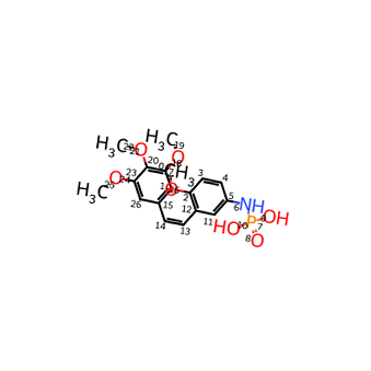 COc1ccc(NP(=O)(O)O)cc1/C=C\c1cc(OC)c(OC)c(OC)c1